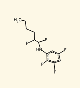 CCCCC(F)C(F)Nc1cc(F)cc(F)c1F